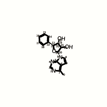 Cc1ncnc2c1ccn2[C@@H]1O[C@@H](c2ccccc2)[C@@H](O)C1O